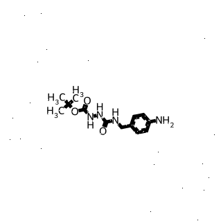 CC(C)(C)OC(=O)NNC(=O)NCc1ccc(N)cc1